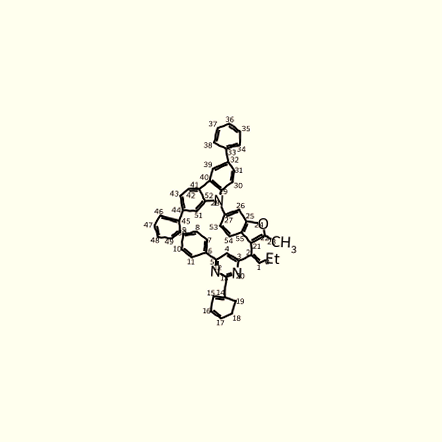 CC/C=C(/c1cc(-c2ccccc2)nc(C2=CC=CCC2)n1)c1c(C)oc2cc(-n3c4ccc(-c5ccccc5)cc4c4ccc(-c5ccccc5)cc43)ccc12